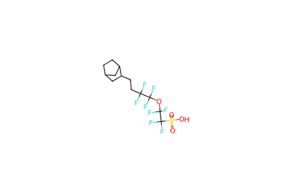 O=S(=O)(O)C(F)(F)C(F)(F)OC(F)(F)C(F)(F)CCC1CC2CCC1C2